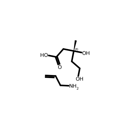 C=CCN.C[C@@](O)(CCO)CC(=O)O